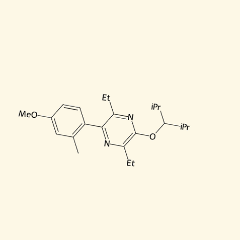 CCc1nc(-c2ccc(OC)cc2C)c(CC)nc1OC(C(C)C)C(C)C